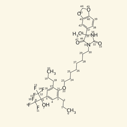 CCCc1cc(C(O)(C(F)(F)F)C(F)(F)F)cc(CCC)c1OCCCCCCCCN1C(=O)NC(C)(c2ccc3c(c2)OCO3)C1=O